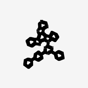 c1ccc(-c2ccc(-c3nc(-c4ccccc4)nc(-n4c5ccccc5c5c6c7ncncc7sc6c6c7ccccc7sc6c54)n3)cc2)cc1